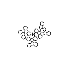 c1ccc(C2(c3ccccc3)c3ccccc3-c3cc(N(c4cccc5c4-c4ccccc4C54c5ccccc5-c5ccccc54)c4cccc5c4-c4ccccc4C54c5ccc6ccccc6c5Oc5c4ccc4ccccc54)ccc32)cc1